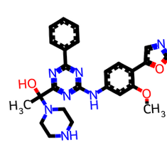 COc1cc(Nc2nc(-c3ccccc3)nc(C(C)(O)N3CCNCC3)n2)ccc1-c1cnco1